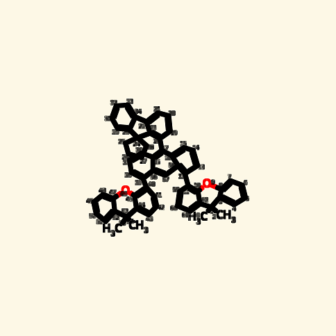 CC1(C)c2ccccc2Oc2c(-c3cccc4c(-c5cccc6c5C5(CCCC5)c5ccccc5-6)c5cccc(-c6cccc7c6Oc6ccccc6C7(C)C)c5cc34)cccc21